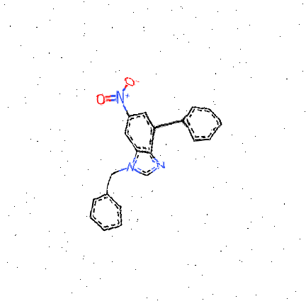 O=[N+]([O-])c1cc(-c2ccccc2)c2ncn(Cc3ccccc3)c2c1